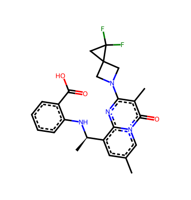 Cc1cc([C@@H](C)Nc2ccccc2C(=O)O)c2nc(N3CC4(C3)CC4(F)F)c(C)c(=O)n2c1